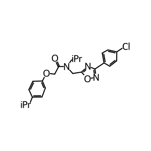 CC(C)c1ccc(OCC(=O)N(Cc2nc(-c3ccc(Cl)cc3)no2)C(C)C)cc1